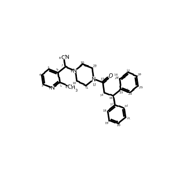 Cc1ncccc1C(C#N)N1CCN(C(=O)CC(c2ccccc2)c2ccccc2)CC1